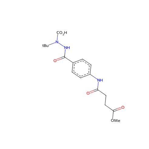 COC(=O)CCC(=O)Nc1ccc(C(=O)NN(C(=O)O)C(C)(C)C)cc1